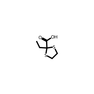 CCC1(C(=O)O)SCCS1